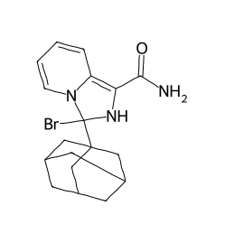 NC(=O)C1=C2C=CC=CN2C(Br)(C23CC4CC(CC(C4)C2)C3)N1